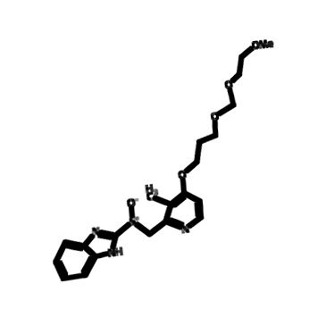 COCCOCOCCCOc1ccnc(C[S+]([O-])c2nc3ccccc3[nH]2)c1C